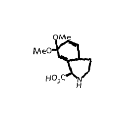 COC1(OC)C=CC2CCNC(C(=O)O)C2=C1